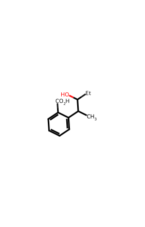 CCC(O)C(C)c1ccccc1C(=O)O